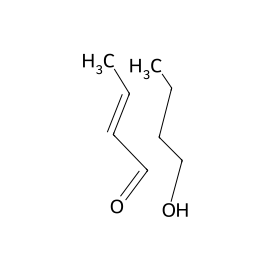 C/C=C/C=O.CCCCO